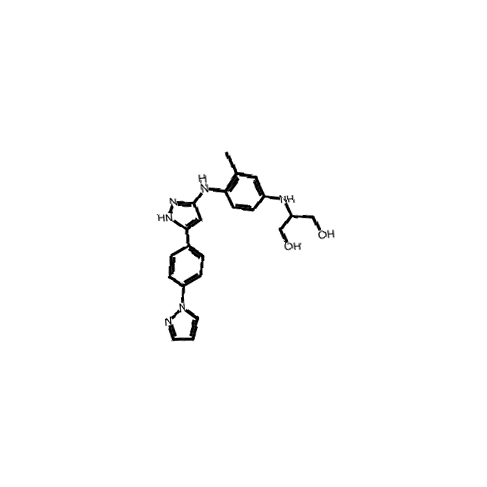 Cc1cc(NC(CO)CO)ccc1Nc1cc(-c2ccc(-n3cccn3)cc2)[nH]n1